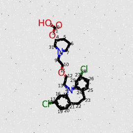 O=C(O)O[C@@H]1CCCN(CCOCCN2c3cc(Cl)ccc3CCc3ccc(Cl)cc32)C1